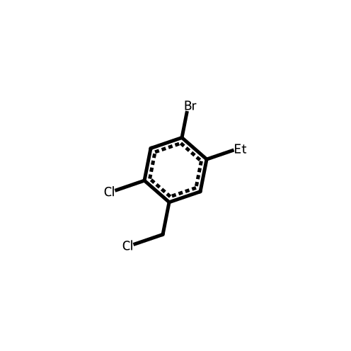 CCc1cc(CCl)c(Cl)cc1Br